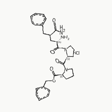 Cl.NC(=O)C(Cc1ccccc1)C[C@H](N)C(=O)N1CCC[C@H]1C(=O)N1CCC[C@H]1C(=O)OCc1ccccc1